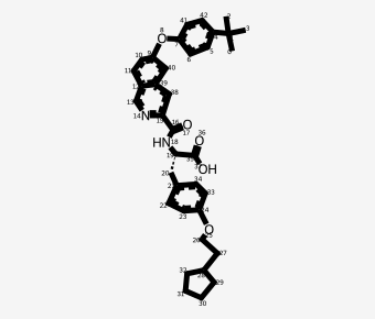 CC(C)(C)c1ccc(Oc2ccc3cnc(C(=O)N[C@@H](Cc4ccc(OCCC5CCCC5)cc4)C(=O)O)cc3c2)cc1